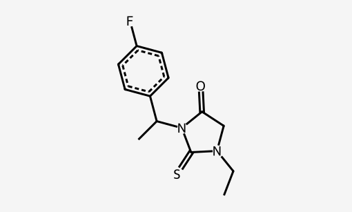 CCN1CC(=O)N(C(C)c2ccc(F)cc2)C1=S